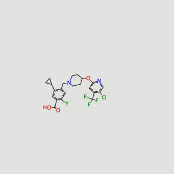 O=C(O)c1cc(C2CC2)c(CN2CCC(Oc3cc(C(F)(F)F)c(Cl)cn3)CC2)cc1F